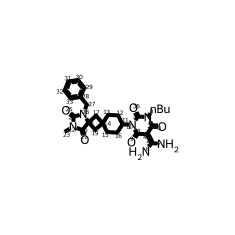 CCCCN1C(=O)C(=C(N)N)C(=O)N(C2CCC3(CC2)CC2(C3)C(=O)N(C)C(=O)N2Cc2ccccc2)C1=O